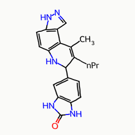 CCCC1=C(C)c2c(ccc3[nH]ncc23)NC1c1ccc2[nH]c(=O)[nH]c2c1